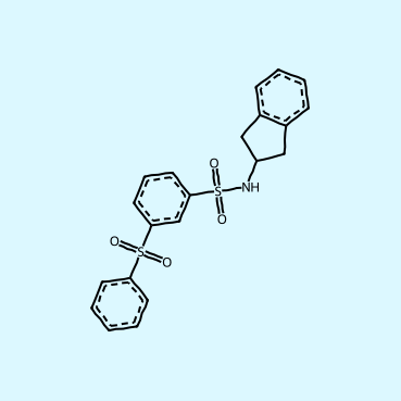 O=S(=O)(NC1Cc2ccccc2C1)c1cccc(S(=O)(=O)c2ccccc2)c1